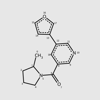 CC1CCCN1C(=O)c1cncc(-c2ccoc2)c1